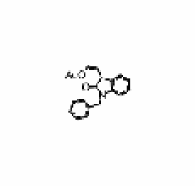 CC(=O)O/C=C\C1C(=O)N(Cc2ccccc2)c2ccccc21